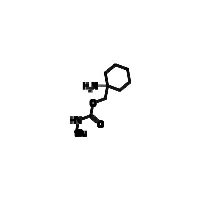 CC(C)(C)NC(=O)OCC1(N)CCCCC1